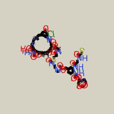 COc1cc2cc(c1Cl)N(C)C(=O)C[C@H](OC(=O)[C@H](C)N(C)C(=O)CCSC(=O)N(C)CCN(C)C(=O)OCc1ccc(NC(=O)OC3/C=C/COCOC3)c(NC(=O)CCNC(=O)CSC)c1)[C@]1(C)O[C@H]1[C@H](C)[C@@H]1C[C@@](O)(NC(=O)O1)[C@H](O)/C=C/C=C(\C)C2